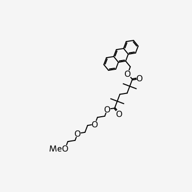 COCCOCCOCCOC(=O)C(C)(C)CCC(C)(C)C(=O)OCc1c2ccccc2cc2ccccc12